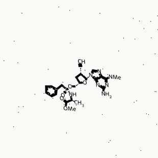 C#C[C@H]1C[C@@H](COP(=O)(Cc2ccccc2)N[C@H](C)C(=O)OC)O[C@H]1n1cnc2c(NC)nc(N)nc21